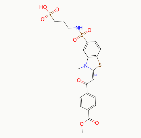 COC(=O)c1ccc(C(=O)/C=C2/Sc3ccc(S(=O)(=O)NCCCS(=O)(=O)O)cc3N2C)cc1